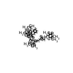 CC1=C(C)C(=O)C(CCCOC(=O)NCCCC[C@H](NC2OC2[C@@H]2CCCN2C(=O)[C@H](/C=C/[C@H](CC(C)C)NC(=O)OC(C)(C)C)Cc2ccccc2)C(=O)NC(C)C)=C(C)C1=O